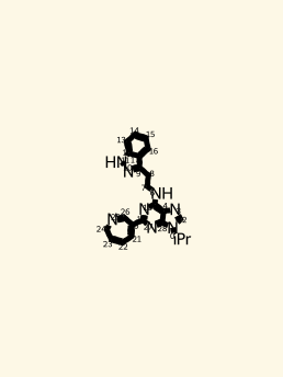 CC(C)n1cnc2c(NCCc3n[nH]c4ccccc34)nc(C3=CC=CCN=C3)nc21